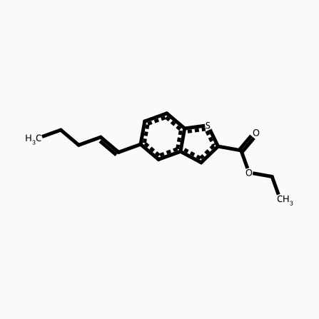 CCCC=Cc1ccc2sc(C(=O)OCC)cc2c1